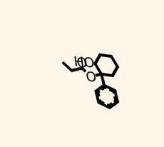 CCC(=O)OC1(c2ccccc2)CCCCC1O